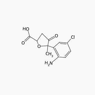 CC1(c2cc(Cl)ccc2N)OC(C(=O)O)CC1=O